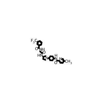 Cc1ccc(C(=O)NC2CCC(N3CC[C@@H](NC(=O)CNC(=O)c4cccc(C(F)(F)F)c4)C3)CC2)nc1